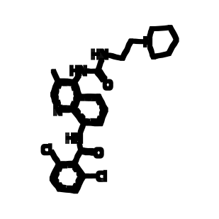 Cc1cnc2c(NC(=O)c3c(Cl)cccc3Cl)cccc2c1NC(=O)NCCN1CCCCC1